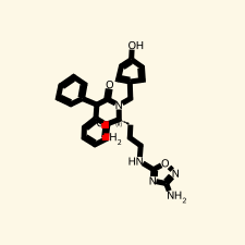 NC(=O)[C@@H](CCCNc1nc(N)no1)N(Cc1ccc(O)cc1)C(=O)C(c1ccccc1)c1ccccc1